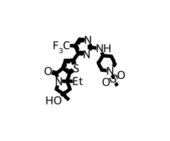 CCC12CC(C)(O)CN1C(=O)c1cc(-c3nc(NC4CCN(S(C)(=O)=O)CC4)ncc3C(F)(F)F)sc12